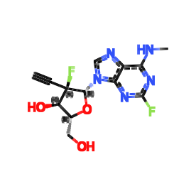 C#C[C@@]1(F)[C@H](O)[C@@H](CO)O[C@H]1n1cnc2c(NC)nc(F)nc21